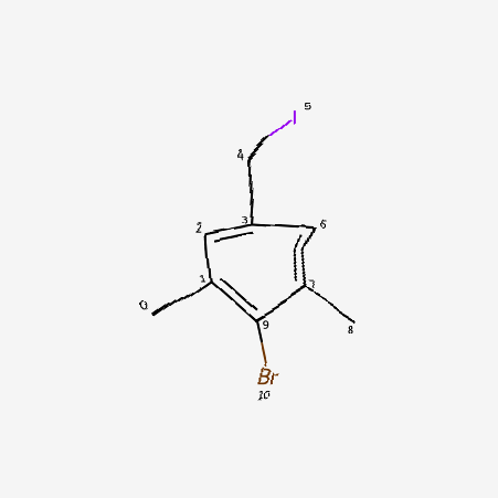 Cc1cc(CI)cc(C)c1Br